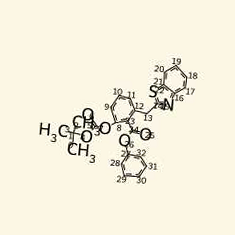 CC(C)(C)OC(=O)Oc1cccc(Cc2nc3ccccc3s2)c1C(=O)Oc1ccccc1